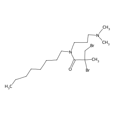 CCCCCCCCN(CCCN(C)C)C(=O)C(C)(Br)CBr